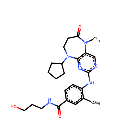 COc1cc(C(=O)NCCCO)ccc1Nc1ncc2c(n1)N(C1CCCC1)CCC(=O)N2C